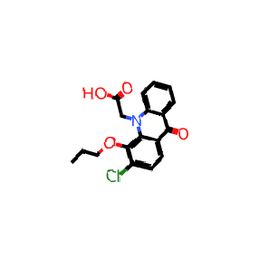 CCCOc1c(Cl)ccc2c(=O)c3ccccc3n(CC(=O)O)c12